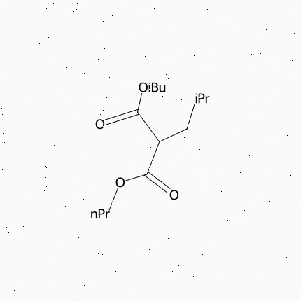 CCCOC(=O)C(CC(C)C)C(=O)OCC(C)C